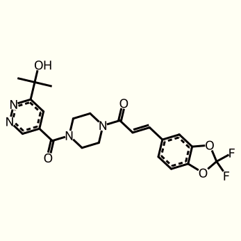 CC(C)(O)c1cc(C(=O)N2CCN(C(=O)/C=C/c3ccc4c(c3)OC(F)(F)O4)CC2)cnn1